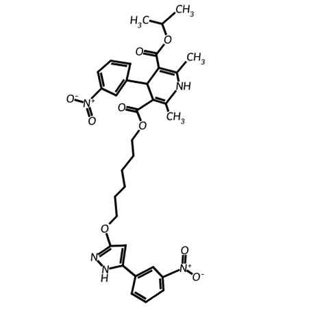 CC1=C(C(=O)OCCCCCCOc2cc(-c3cccc([N+](=O)[O-])c3)[nH]n2)C(c2cccc([N+](=O)[O-])c2)C(C(=O)OC(C)C)=C(C)N1